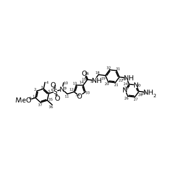 COc1cc(C)c(S(=O)(=O)N(C)Cc2cc(C(=O)NCc3ccc(Nc4nccc(N)n4)cc3)co2)c(C)c1